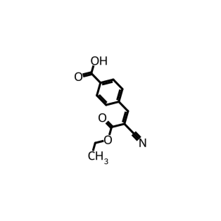 CCOC(=O)C(C#N)=Cc1ccc(C(=O)O)cc1